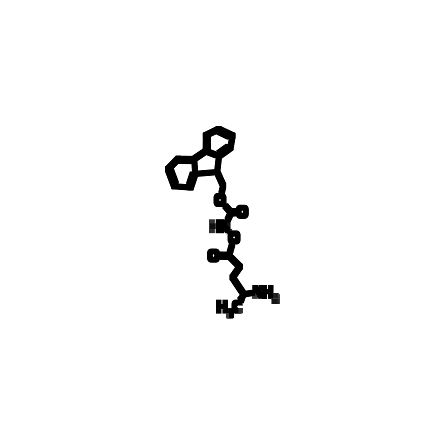 C[C@H](N)CCC(=O)ONC(=O)OCC1c2ccccc2-c2ccccc21